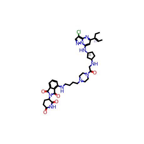 C/C=C(\CC)c1cc(N[C@H]2CCC(NCC(=O)N3CCN(CCCCNc4cccc5c4C(=O)N(C4CCC(=O)NC4=O)C5=O)CC3)C2)n2ncc(Cl)c2n1